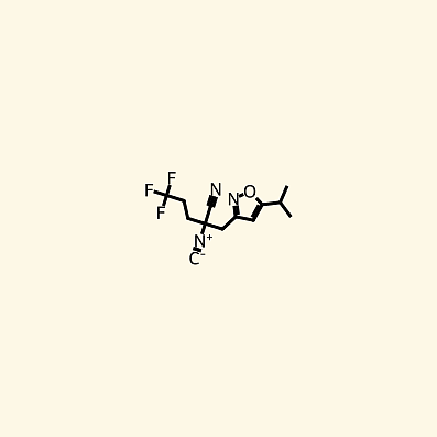 [C-]#[N+]C(C#N)(CCC(F)(F)F)Cc1cc(C(C)C)on1